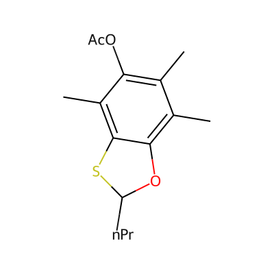 CCCC1Oc2c(C)c(C)c(OC(C)=O)c(C)c2S1